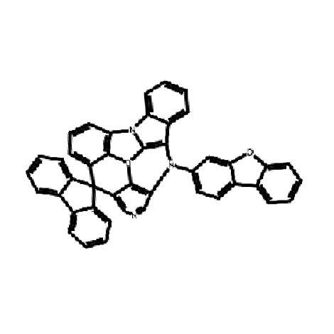 c1ccc2c(c1)-c1ccccc1C21c2cncc3c2B2c4c(cccc41)-n1c2c(c2ccccc21)N3c1ccc2c(c1)oc1ccccc12